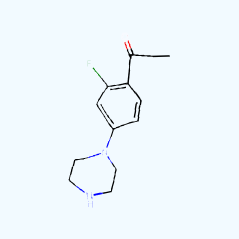 CC(=O)c1ccc(N2CCNCC2)cc1F